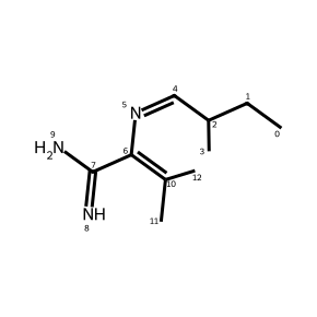 CCC(C)/C=N\C(C(=N)N)=C(C)C